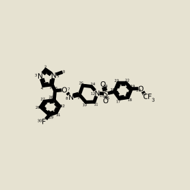 Cn1cncc1C(ON=C1CCN(S(=O)(=O)c2ccc(OC(F)(F)F)cc2)CC1)c1ccc(F)cc1